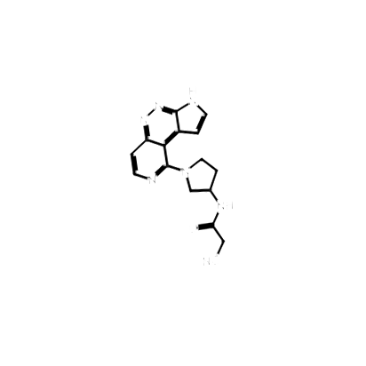 N#CCC(=O)NC1CCN(c2nccc3nnc4[nH]ccc4c23)C1